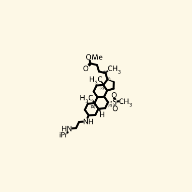 COC(=O)CC[C@@H](C)[C@H]1CCC2C3C(CC[C@@]21C)[C@@]1(C)CCC(NCCNC(C)C)C[C@@H]1C[C@H]3S(C)(=O)=O